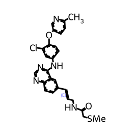 CSCC(=O)NC/C=C/c1ccc2ncnc(Nc3ccc(Oc4ccc(C)nc4)c(Cl)c3)c2c1